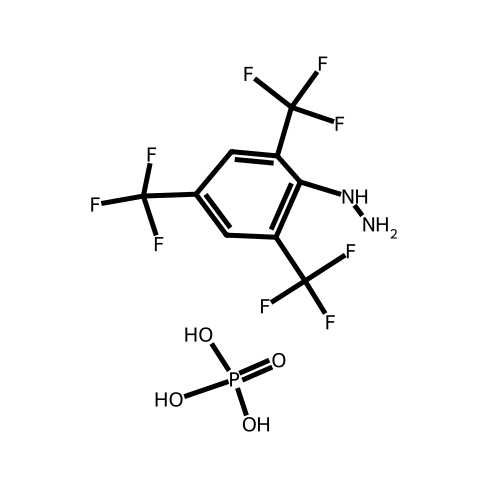 NNc1c(C(F)(F)F)cc(C(F)(F)F)cc1C(F)(F)F.O=P(O)(O)O